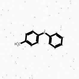 Cc1ccc(Sc2c[c]ccc2)cc1